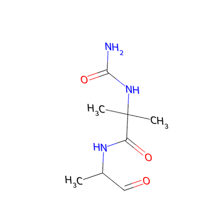 CC(C=O)NC(=O)C(C)(C)NC(N)=O